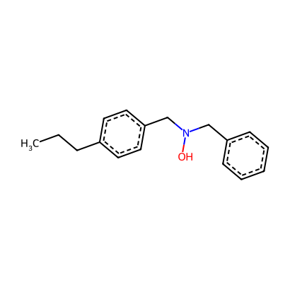 CCCc1ccc(CN(O)Cc2ccccc2)cc1